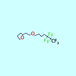 FC(F)(F)C(F)(F)C(F)(F)CCCCOCCC1CCCO1